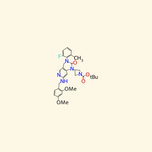 COc1ccc(CNc2cc3c(cn2)CN(c2c(C)cccc2F)C(=O)N3C2CN(C(=O)OC(C)(C)C)C2)c(OC)c1